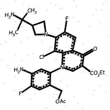 CCOC(=O)c1cn(-c2cc(N)c(F)cc2COC(C)=O)c2c(Cl)c(N3CC(C(C)(C)N)C3)c(F)cc2c1=O